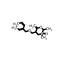 C=C1OC(C)[N+](C)(CC)CC1COCC(/C=C\C)=C/C